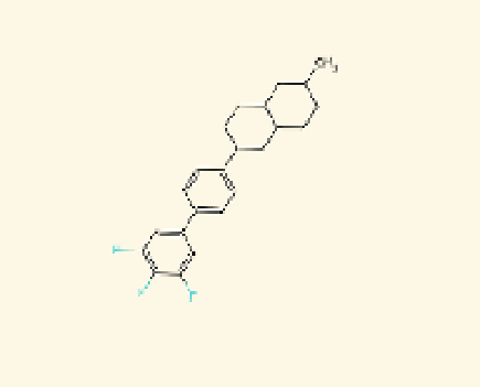 CC1CCC2CC(c3ccc(-c4cc(F)c(F)c(F)c4)cc3)CCC2C1